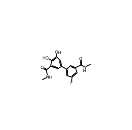 CNC(=O)c1cc(F)cc(-c2cc(O)c(O)c(C(=O)NC)c2)c1